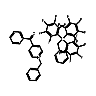 Fc1c(F)c(F)c([B-](Cc2ccccc2)(c2c(F)c(F)c(F)c(F)c2F)c2c(F)c(F)c(F)c(F)c2F)c(F)c1F.O=C(c1ccccc1)c1cc[n+](Cc2ccccc2)cc1